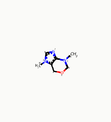 CN1COCc2c1ncn2C